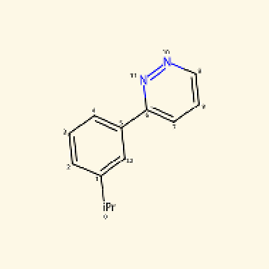 CC(C)c1cccc(-c2cccnn2)c1